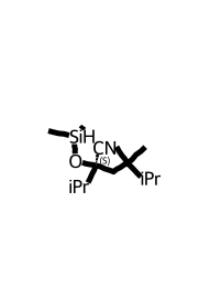 CC(C)C(C)(C)C[C@](C#N)(O[SiH](C)C)C(C)C